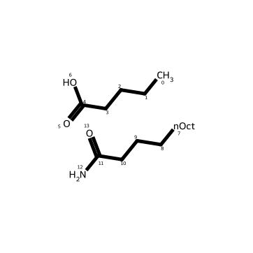 CCCCC(=O)O.CCCCCCCCCCCC(N)=O